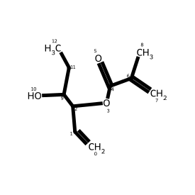 C=CC(OC(=O)C(=C)C)C(O)CC